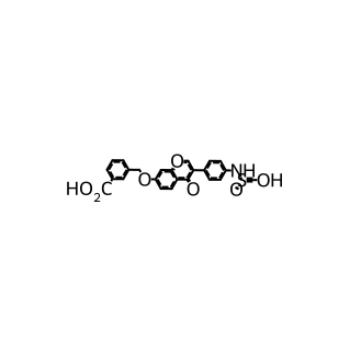 O=C(O)c1cccc(COc2ccc3c(=O)c(-c4ccc(NS(=O)#CO)cc4)coc3c2)c1